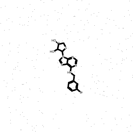 OC1C(n2cnc3c(NCc4cccc(Br)c4)ncnc32)SC[C@@H]1O